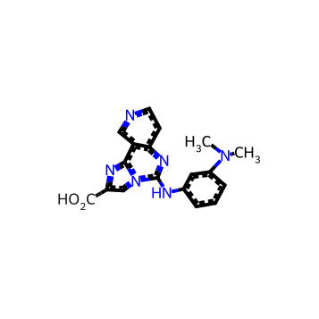 CN(C)c1cccc(Nc2nc3ccncc3c3nc(C(=O)O)cn23)c1